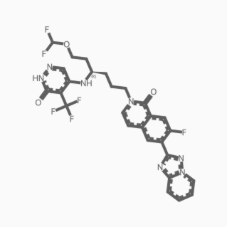 O=c1[nH]ncc(N[C@H](CCCn2ccc3cc(-c4nc5ccccn5n4)c(F)cc3c2=O)CCOC(F)F)c1C(F)(F)F